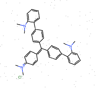 CN(C)c1ccccc1-c1ccc(C(=C2C=CC(=[N+](C)C)C=C2)c2ccc(-c3ccccc3N(C)C)cc2)cc1.[Cl-]